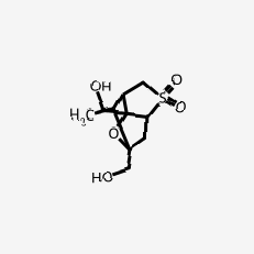 CC1C2CS(=O)(=O)C3CC1(CO)OC23CO